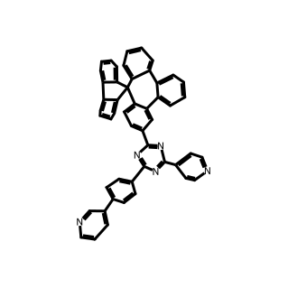 c1cncc(-c2ccc(-c3nc(-c4ccncc4)nc(-c4ccc5c(c4)-c4ccccc4-c4ccccc4C54c5ccccc5-c5ccccc54)n3)cc2)c1